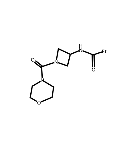 CCC(=O)NC1CN(C(=O)N2CCOCC2)C1